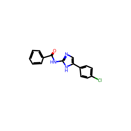 O=C(Nc1ncc(-c2ccc(Cl)cc2)[nH]1)c1ccccc1